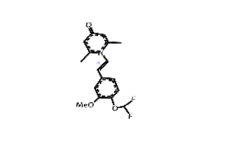 COc1cc(/C=C/n2c(C)cc(=O)cc2C)ccc1OC(F)F